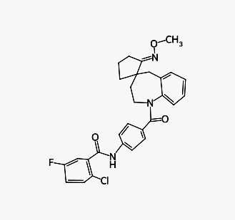 CON=C1CCCC12CCN(C(=O)c1ccc(NC(=O)c3cc(F)ccc3Cl)cc1)c1ccccc1C2